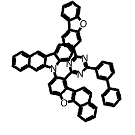 c1ccc(-c2cccc(-c3nc(-c4ccc5c(c4)oc4ccccc45)nc(-c4c(-n5c6ccccc6c6cc7ccccc7cc65)ccc5oc6c7ccccc7ccc6c45)n3)c2)cc1